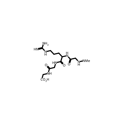 CNNCC(=O)NC(CCCNC(=N)N)C(=O)NCC(=O)NCC(=O)O